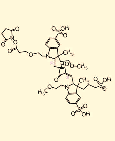 COCCN1c2ccc(S(=O)(=O)O)cc2C(C)(CCCS(=O)(=O)O)C1/C=C1\C(=O)C(/C=C2/N(CCOCCC(=O)ON3C(=O)CCC3=O)c3ccc(S(=O)(=O)O)cc3C2(C)CCOC)=C1O